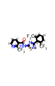 O=C(Nc1nc(-c2c(C(F)(F)F)cccc2C(F)(F)F)ns1)c1cccnc1C(F)(F)F